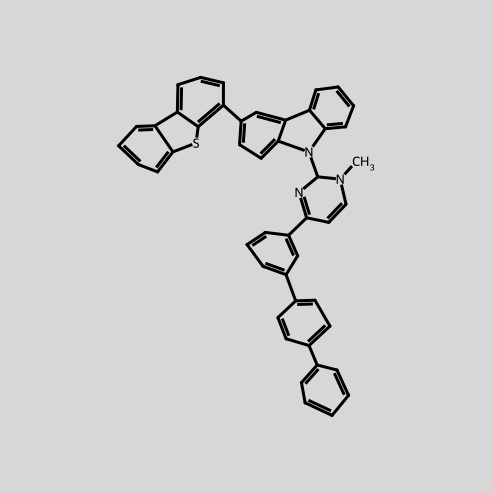 CN1C=CC(c2cccc(-c3ccc(-c4ccccc4)cc3)c2)=NC1n1c2ccccc2c2cc(-c3cccc4c3sc3ccccc34)ccc21